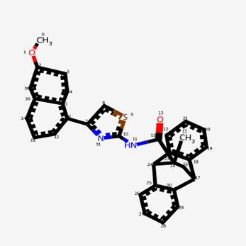 COc1ccc2c(-c3csc(NC(=O)C4(C)CC5c6ccccc6C4c4ccccc45)n3)cccc2c1